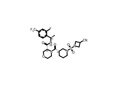 C[C@@H](NC(=O)[C@H]1COCCN1C(=O)[C@H]1CCCN(S(=O)(=O)N2CC(C#N)C2)C1)c1ccc(C(F)(F)F)cc1F